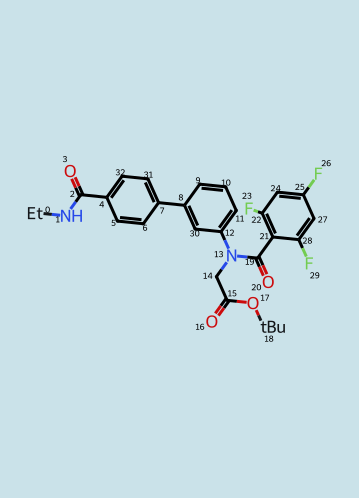 CCNC(=O)c1ccc(-c2cccc(N(CC(=O)OC(C)(C)C)C(=O)c3c(F)cc(F)cc3F)c2)cc1